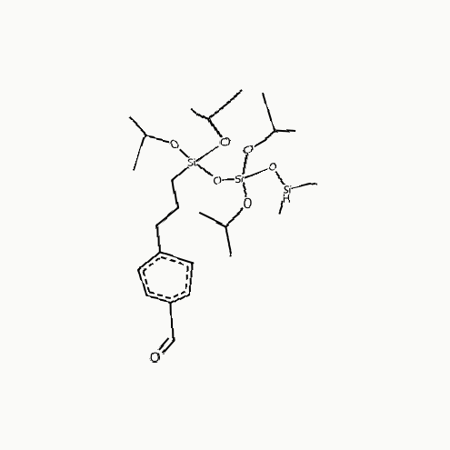 CC(C)O[Si](CCCc1ccc(C=O)cc1)(OC(C)C)O[Si](OC(C)C)(OC(C)C)O[SiH](C)C